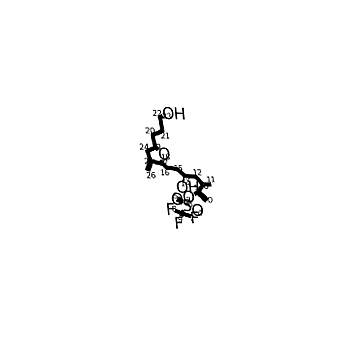 C=C(OS(=O)(=O)C(F)(F)F)C(C)C[C@H](O)CCC1OC(CCCO)CC1=C